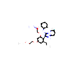 CCc1cc(OCCOC)cc(OCC(N)=O)c1-c1nc2ccc(F)cn2c1Nc1c(C)cccc1C